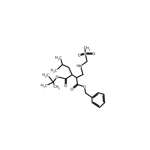 CC(C)CC(C(=O)OC(C)(C)C)C(CNCS(C)(=O)=O)C(=O)OCc1ccccc1